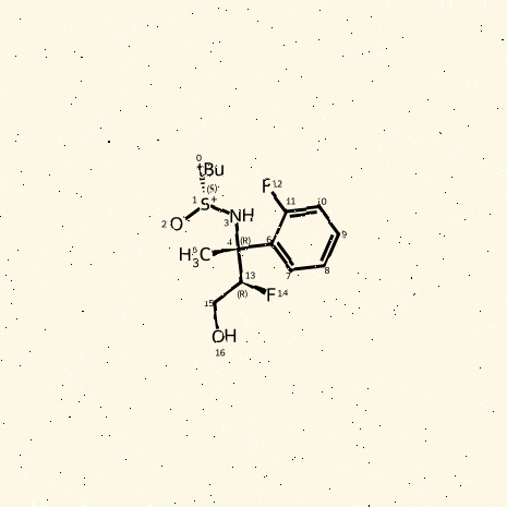 CC(C)(C)[S@@+]([O-])N[C@](C)(c1ccccc1F)[C@@H](F)CO